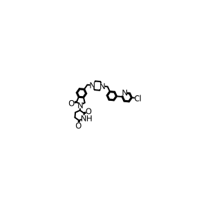 O=C1CCC(N2Cc3cc(CN4CCN(Cc5cccc(-c6ccc(Cl)cn6)c5)CC4)ccc3C2=O)C(=O)N1